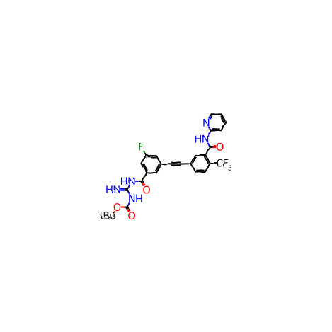 CC(C)(C)OC(=O)NC(=N)NC(=O)c1cc(F)cc(C#Cc2ccc(C(F)(F)F)c(C(=O)Nc3ccccn3)c2)c1